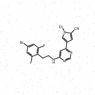 CCn1cc(-c2cc(NCCc3c(F)cc(Br)cc3F)ncn2)cc1C#N